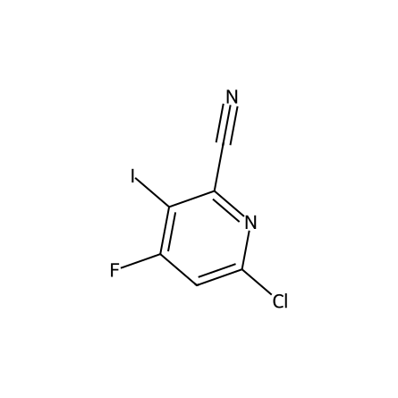 N#Cc1nc(Cl)cc(F)c1I